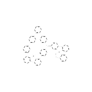 CC1(C)c2ccccc2-c2cccc(-c3ccc(N(c4ccc(-c5ccccc5-c5ccc(-c6ccccc6)cc5)cc4)c4ccc5c(c4)C4(CCc6ccccc64)c4ccccc4-5)cc3)c21